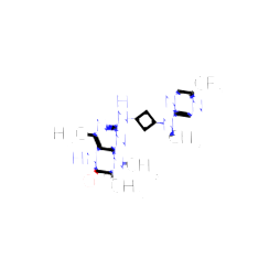 Cc1nc(N[C@H]2C[C@H](N(C)c3cnc(C(F)(F)F)cn3)C2)nc2c1NC(=O)[C@H](C)N2C